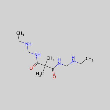 CCNCNC(=O)C(C)(C)C(=O)NCNCC